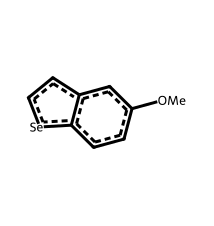 COc1ccc2[se]ccc2c1